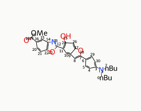 CCCCN(CCCC)c1ccc(-c2cc3cc(-c4nc5cc(C(=O)OC)ccc5o4)c(O)cc3o2)cc1